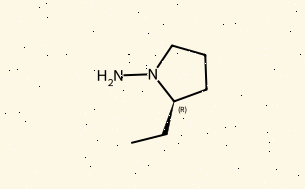 CC[C@@H]1CCCN1N